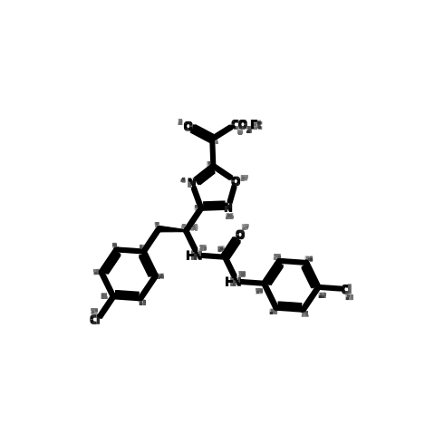 CCOC(=O)C(=O)c1nc([C@H](Cc2ccc(Cl)cc2)NC(=O)Nc2ccc(Cl)cc2)no1